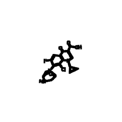 O=C(O)c1cn(C2CC2)c2c(Cl)c(N3CC4CCCC3CN4)c(F)cc2c1=O